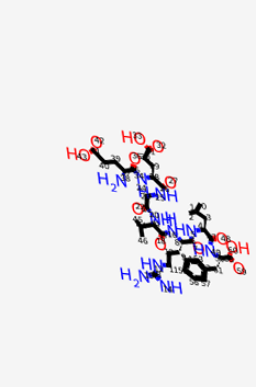 CC(C)C[C@H](NC(=O)[C@H](CCCNC(=N)N)NC(=O)[C@@H](NC(=O)[C@H](C)NC(=O)[C@H](CCC(=O)O)NC(=O)[C@@H](N)CCC(=O)O)C(C)C)C(=O)N[C@@H](Cc1ccccc1)C(=O)O